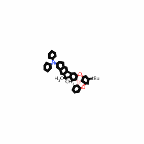 CC(C)(C)c1cc2c3c(c1)Oc1cc4c(cc1B3c1ccccc1O2)C(C)(C)c1cc2cc(N(c3ccccc3)c3ccccc3)ccc2cc1-4